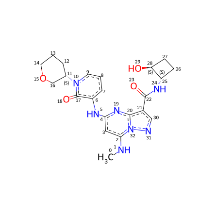 CNc1cc(Nc2cccn([C@H]3CCCOC3)c2=O)nc2c(C(=O)N[C@H]3CC[C@@H]3O)cnn12